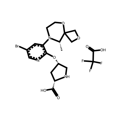 C[C@@H]1N(c2cc(Br)cnc2O[C@@H]2CN[C@H](C(=O)O)C2)CCOC12COC2.O=C(O)C(F)(F)F